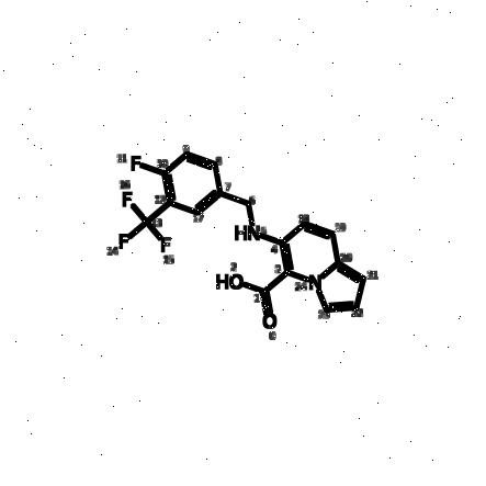 O=C(O)c1c(NCc2ccc(F)c(C(F)(F)F)c2)ccc2cccn12